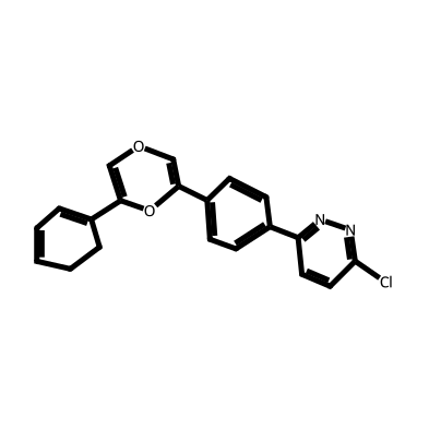 Clc1ccc(-c2ccc(C3=COC=C(C4=CC=CCC4)O3)cc2)nn1